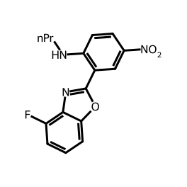 CCCNc1ccc([N+](=O)[O-])cc1-c1nc2c(F)cccc2o1